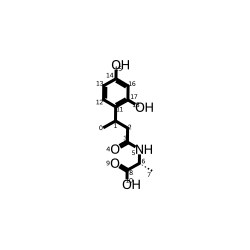 CC(CC(=O)N[C@H](C)C(=O)O)c1ccc(O)cc1O